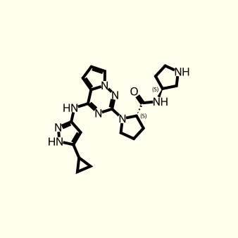 O=C(N[C@H]1CCNC1)[C@@H]1CCCN1c1nc(Nc2cc(C3CC3)[nH]n2)c2cccn2n1